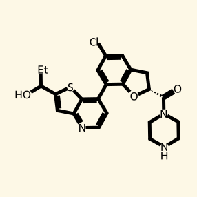 CCC(O)c1cc2nccc(-c3cc(Cl)cc4c3O[C@@H](C(=O)N3CCNCC3)C4)c2s1